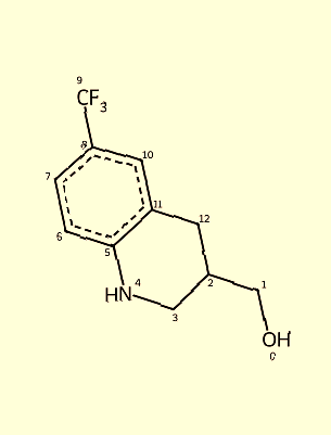 OCC1CNc2ccc(C(F)(F)F)cc2C1